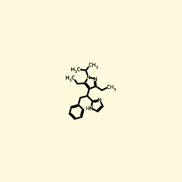 CCc1nn(C(C)C)c(CC)c1C(Cc1ccccc1)c1ncc[nH]1